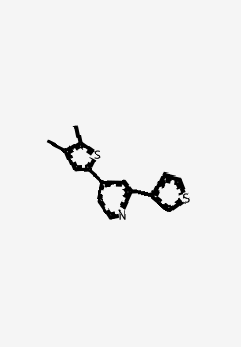 Cc1cc(-c2ccnc(-c3ccsc3)c2)sc1C